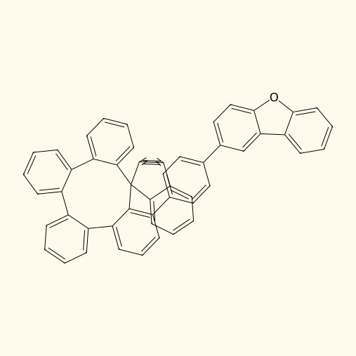 c1ccc2c(c1)-c1ccccc1-c1cccc(-c3ccc(-c4ccc5oc6ccccc6c5c4)cc3)c1C1(c3ccccc3-2)c2ccccc2-c2ccccc21